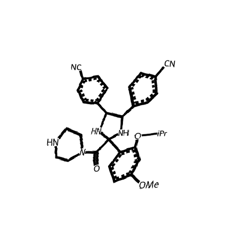 COc1ccc(C2(C(=O)N3CCNCC3)NC(c3ccc(C#N)cc3)C(c3ccc(C#N)cc3)N2)c(OC(C)C)c1